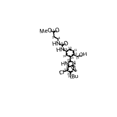 COC(=O)CCNC(=O)Nc1ccc(CO)c(-c2nn3nc(C(C)(C)C)c(Cl)c3[nH]2)c1